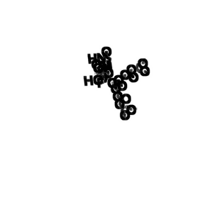 COCC(COC)OC(=O)OCOP(=O)(OCOC(=O)OC(COC)COC)OC[C@@]1(CF)O[C@@H](n2ccc(=O)[nH]c2=O)[C@](C)(O)[C@@H]1O